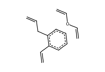 C=CCc1ccccc1C=C.C=COC=C